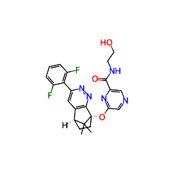 CC1(C)[C@H]2CC[C@]1(Oc1cncc(C(=O)NCCO)n1)c1nnc(-c3c(F)cccc3F)cc12